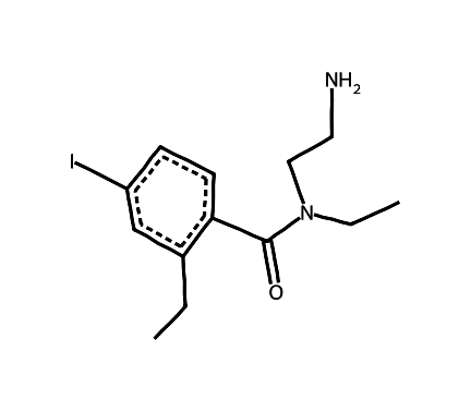 CCc1cc(I)ccc1C(=O)N(CC)CCN